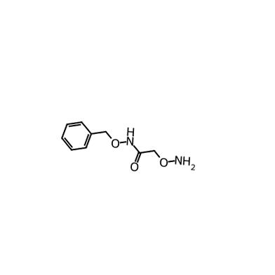 NOCC(=O)NOCc1ccccc1